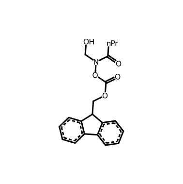 CCCC(=O)N(CO)OC(=O)OCC1c2ccccc2-c2ccccc21